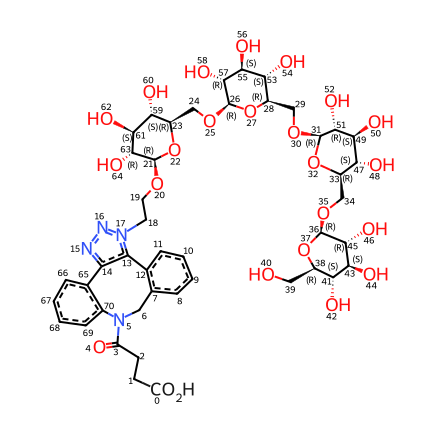 O=C(O)CCC(=O)N1Cc2ccccc2-c2c(nnn2CCO[C@@H]2O[C@H](CO[C@@H]3O[C@H](CO[C@@H]4O[C@H](CO[C@@H]5O[C@H](CO)[C@@H](O)[C@H](O)[C@H]5O)[C@@H](O)[C@H](O)[C@H]4O)[C@@H](O)[C@H](O)[C@H]3O)[C@@H](O)[C@H](O)[C@H]2O)-c2ccccc21